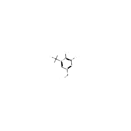 Nc1cc(CO)cc(C(F)(F)F)c1N